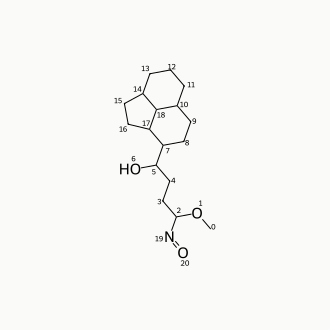 COC(CCC(O)C1CCC2CCCC3CCC1C23)N=O